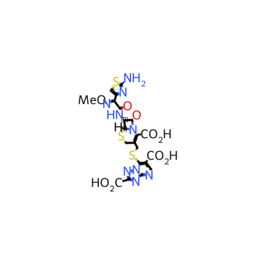 CON=C(C(=O)N[C@@H]1C(=O)N2C(C(=O)O)=C(CSc3c(C(=O)O)cnc4nc(C(=O)O)nn34)CS[C@H]12)c1csc(N)n1